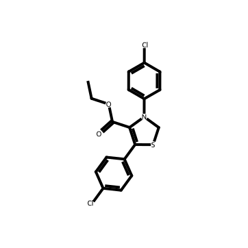 CCOC(=O)C1=C(c2ccc(Cl)cc2)SCN1c1ccc(Cl)cc1